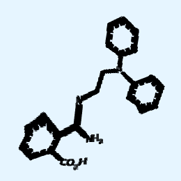 NC(=NCCP(c1ccccc1)c1ccccc1)c1ccccc1C(=O)O